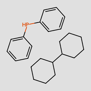 C1CCC(C2CCCCC2)CC1.c1ccc(Pc2ccccc2)cc1